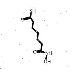 O=C(CCCCCC(=S)S)NO